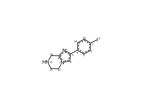 Ic1ccc(-c2cn3c(n2)CNCC3)cc1